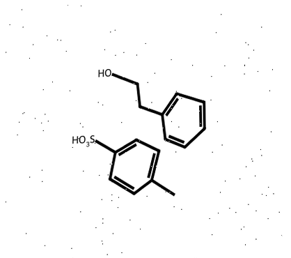 Cc1ccc(S(=O)(=O)O)cc1.OCCc1ccccc1